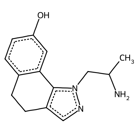 CC(N)Cn1ncc2c1-c1cc(O)ccc1CC2